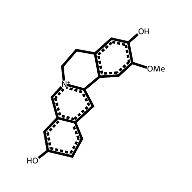 COc1cc2c(cc1O)CC[n+]1cc3cc(O)ccc3cc1-2